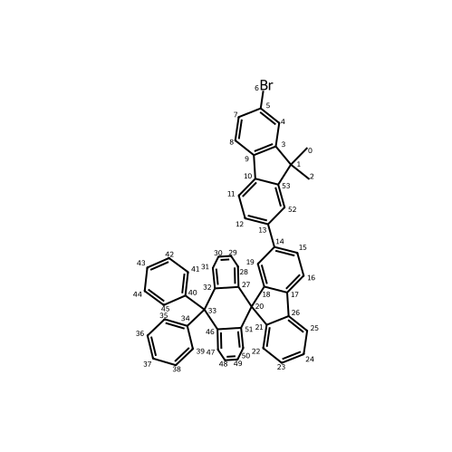 CC1(C)c2cc(Br)ccc2-c2ccc(-c3ccc4c(c3)C3(c5ccccc5-4)c4ccccc4C(c4ccccc4)(c4ccccc4)c4ccccc43)cc21